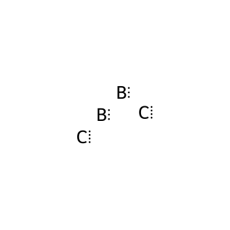 [B].[B].[C].[C]